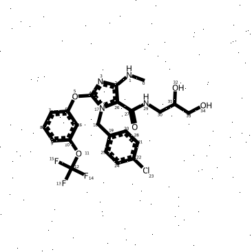 CNc1nc(Oc2cccc(OC(F)(F)F)c2)n(Cc2ccc(Cl)cc2)c1C(=O)NCC(O)CO